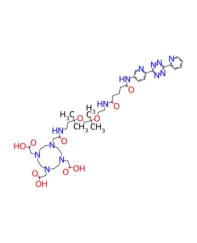 CC(C)(CCNC(=O)CN1CCN(CC(=O)O)CCN(CC(=O)O)CCN(CC(=O)O)CC1)OCC(C)(C)OCCNC(=O)CCCC(=O)Nc1ccc(-c2nnc(-c3ccccn3)nn2)nc1